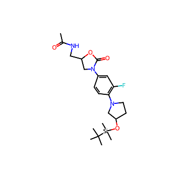 CC(=O)NCC1CN(c2ccc(N3CCC(O[Si](C)(C)C(C)(C)C)C3)c(F)c2)C(=O)O1